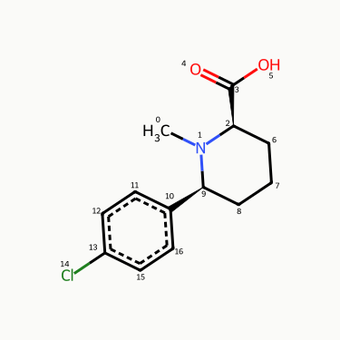 CN1[C@@H](C(=O)O)CCC[C@H]1c1ccc(Cl)cc1